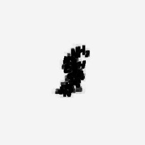 Cc1ncc(N)cc1NC(=O)c1cnn2c(C)c(-c3cnn(C)c3)sc12